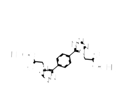 COC(=O)Cn1nnnc1-c1ccc(-c2nnnn2CC(=O)OC)cc1